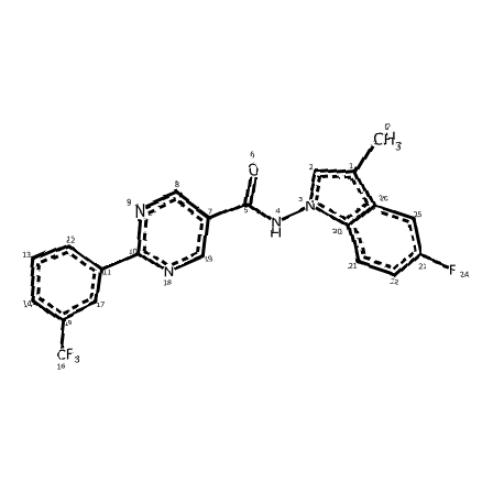 Cc1cn(NC(=O)c2cnc(-c3cccc(C(F)(F)F)c3)nc2)c2ccc(F)cc12